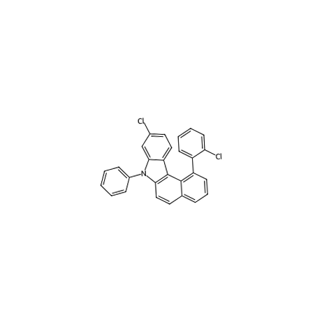 Clc1ccc2c3c4c(-c5ccccc5Cl)cccc4ccc3n(-c3ccccc3)c2c1